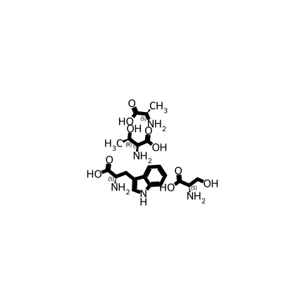 C[C@@H](O)[C@H](N)C(=O)O.C[C@H](N)C(=O)O.N[C@@H](CO)C(=O)O.N[C@@H](Cc1c[nH]c2ccccc12)C(=O)O